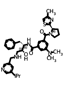 Cc1csc([C@H]2CCCN2C(=O)c2cc(C(=O)N[C@@H](Cc3ccccc3)[C@@H](O)CNCc3cncc(C(C)C)c3)cc(N(C)C)c2)n1